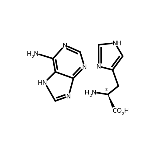 N[C@@H](Cc1c[nH]cn1)C(=O)O.Nc1ncnc2nc[nH]c12